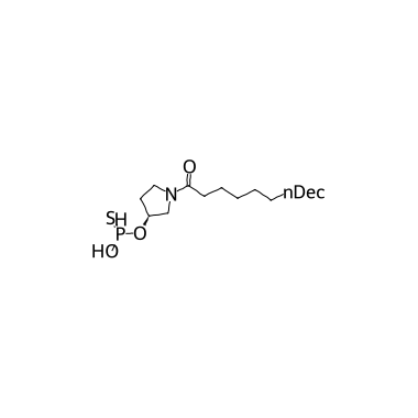 CCCCCCCCCCCCCCCC(=O)N1CC[C@H](O[PH](O)=S)C1